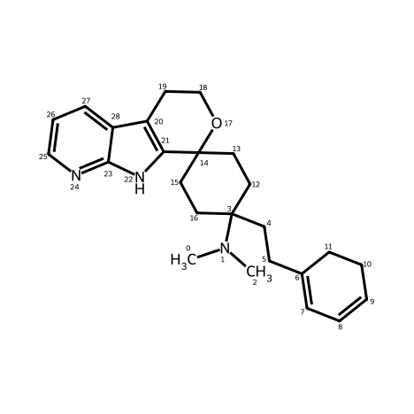 CN(C)C1(CCC2=CC=CCC2)CCC2(CC1)OCCc1c2[nH]c2ncccc12